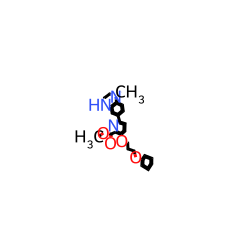 COC(=O)c1nc(-c2ccc3c(c2)NCCN3C)ccc1OCCCOc1ccccc1